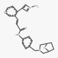 C[N+]1=CC(c2ccncc2/C=C/C(=O)Nc2ccc(CN3CC4CCC(C3)O4)cc2)=C1